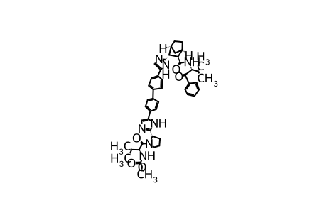 COC(=O)N[C@H](C(=O)N1CCC[C@H]1c1ncc(-c2ccc(-c3ccc(-c4cnc([C@@H]5[C@H]6CC[C@H](C6)[C@H]5C(=O)N[C@@H](C(=O)c5ccccc5)C(C)C)[nH]4)cc3)cc2)[nH]1)C(C)C